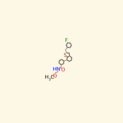 COCCNC(=O)c1cccc(-c2cccc3cc(Cc4cccc(F)c4)sc23)c1